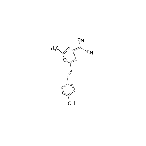 CC1=CC(=C(C#N)C#N)C=C(C=Cc2ccc(O)cc2)O1